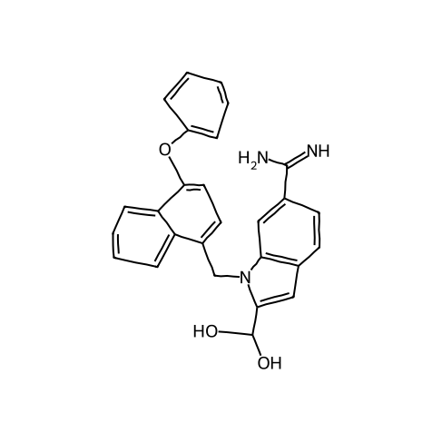 N=C(N)c1ccc2cc(C(O)O)n(Cc3ccc(Oc4ccccc4)c4ccccc34)c2c1